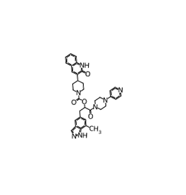 Cc1cc(CC(OC(=O)N2CCC(c3cc4ccccc4[nH]c3=O)CC2)C(=O)N2CCN(c3ccncc3)CC2)cc2cn[nH]c12